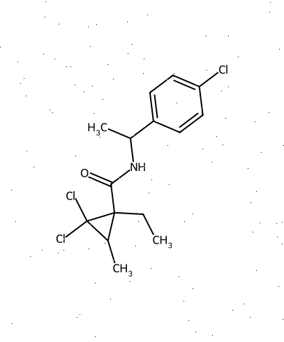 CCC1(C(=O)NC(C)c2ccc(Cl)cc2)C(C)C1(Cl)Cl